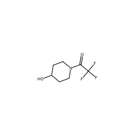 O=C(N1CCC(O)CC1)C(F)(F)F